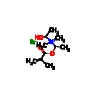 C=C(C)C(=O)OC(C)[N+](C)(C)C(C)O.[Br-]